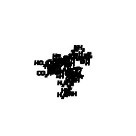 CC(C)C[C@H](NC(=O)CNC(=O)[C@H](C)NC(=O)[C@H](CC(=O)O)NC(=O)[C@H](CC(=O)O)NC(=O)[C@H](C)NC(=O)[C@@H]1CCCN1C(=O)[C@H](CCCCN)NC(=O)CNC(=O)[C@@H]1CCCN1)C(=O)N[C@H](C(=O)N[C@@H](CCCNC(=N)N)C(N)=O)C(C)C